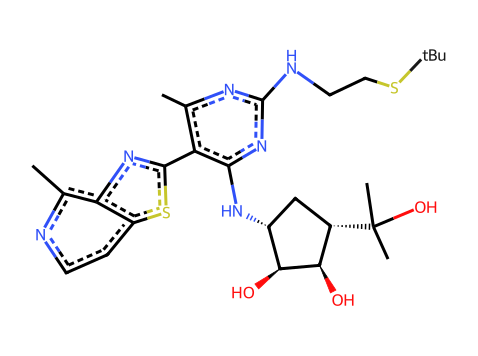 Cc1nc(NCCSC(C)(C)C)nc(N[C@@H]2C[C@H](C(C)(C)O)[C@@H](O)[C@H]2O)c1-c1nc2c(C)nccc2s1